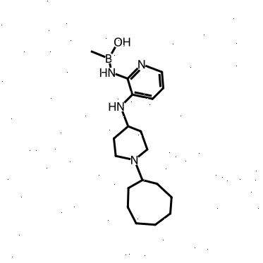 CB(O)Nc1ncccc1NC1CCN(C2CCCCCCC2)CC1